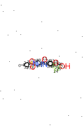 Cc1ccc(S(=O)(=O)N2CCC(C(=O)Nc3ccc(OC(CO)C(F)(F)F)cc3)CC2)cc1